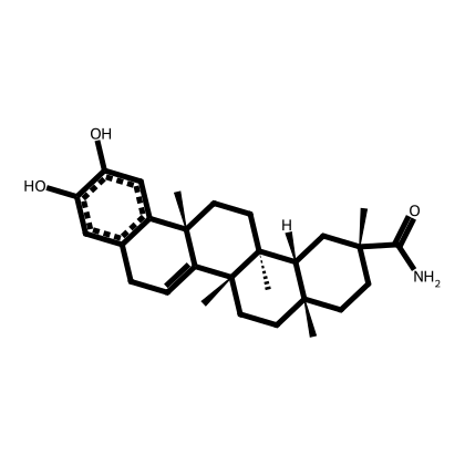 C[C@@]1(C(N)=O)CC[C@]2(C)CC[C@]3(C)C4=CCc5cc(O)c(O)cc5[C@]4(C)CC[C@@]3(C)[C@@H]2C1